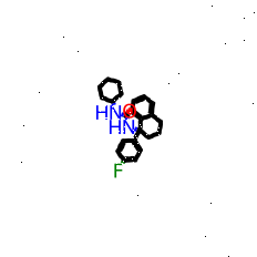 O=C(NC1CCCCC1)NC1(c2ccc(F)cc2)CCCc2ccccc21